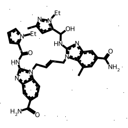 CCn1cccc1C(=O)Nc1nc2cc(C(N)=O)ccc2n1C/C=C/Cn1c(NC(O)c2cc(C)nn2CC)nc2cc(C(N)=O)cc(C)c21